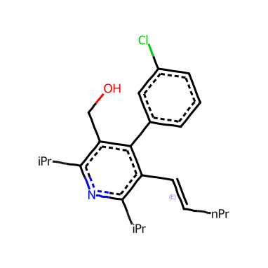 CCC/C=C/c1c(C(C)C)nc(C(C)C)c(CO)c1-c1cccc(Cl)c1